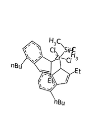 CCCCc1cccc2c1C=C(CC)[CH]2[Zr]([Cl])([Cl])([CH]1C(CC)=Cc2c(CCCC)cccc21)[SiH](C)C